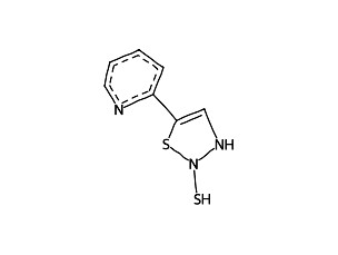 SN1NC=C(c2ccccn2)S1